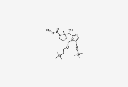 CC(C)(C)OC(=O)N1CCC[C@@]1(C)[C@H](S)c1ncc(C#C[Si](C)(C)C)n1COCC[Si](C)(C)C